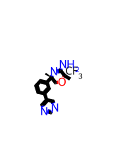 C[C@]1(c2cccc(-c3cncnc3)c2)CO[C@](C)(C(F)(F)F)C(N)=N1